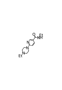 CCNC(=O)c1ccc(N2CCN(CC)CC2)nc1